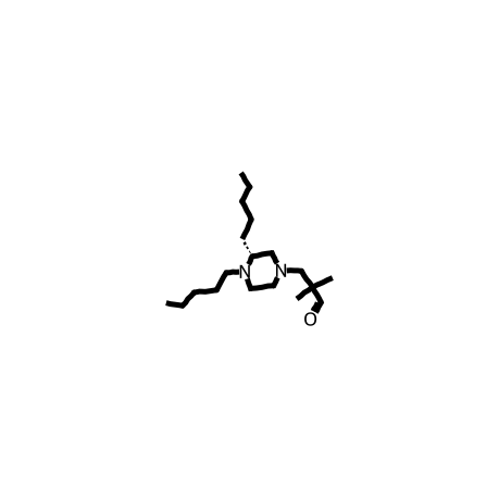 CCCCC[C@@H]1CN(CC(C)(C)C=O)CCN1CCCCC